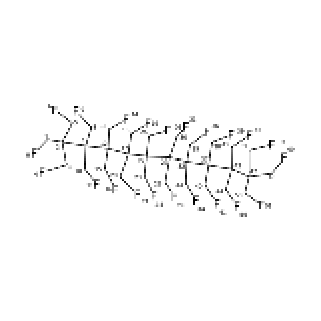 FCC(CF)(CF)C(CF)(CF)C(CF)(CF)C(CF)(CF)C(CF)(CF)C(CF)(CF)C(CF)(CF)C(CF)(CF)C(CF)(CF)C(CF)(CF)CF